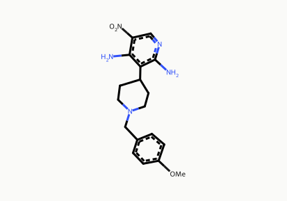 COc1ccc(CN2CCC(c3c(N)ncc([N+](=O)[O-])c3N)CC2)cc1